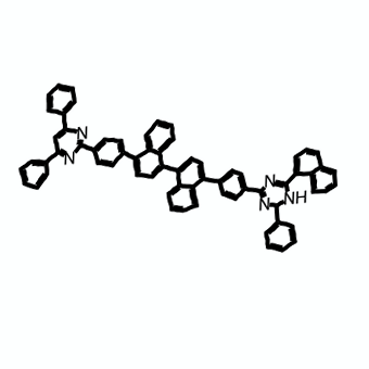 c1ccc(-c2cc(-c3ccccc3)nc(-c3ccc(-c4ccc(-c5ccc(-c6ccc(C7=NC(c8ccccc8)NC(c8cccc9ccccc89)=N7)cc6)c6ccccc56)c5ccccc45)cc3)n2)cc1